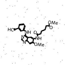 C#Cc1cccc(Nc2ncnc3cc(OC)c(NC(=O)CCCCC(=O)OC)cc23)c1